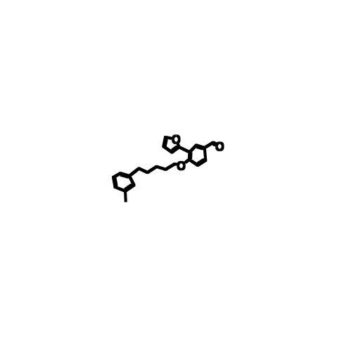 Cc1cccc(CCCCCOc2ccc(C=O)cc2-c2ccco2)c1